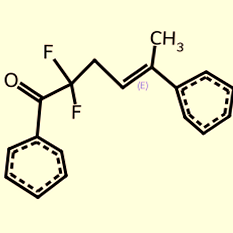 C/C(=C\CC(F)(F)C(=O)c1ccccc1)c1ccccc1